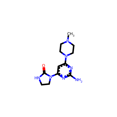 CN1CCN(c2cc(N3CCNC3=O)nc(N)n2)CC1